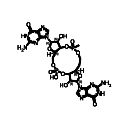 CP1(=O)OCC[C@H]2O[C@@H](n3cnc4c(=O)[nH]c(N)nc43)[C@@H](O)C2OP(=O)(O)OC[C@H]2O[C@@H](n3cnc4c(=O)[nH]c(N)nc43)[C@@H](O)C2O1